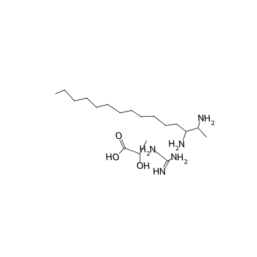 CC(O)C(=O)O.CCCCCCCCCCCCC(N)C(C)N.N=C(N)N